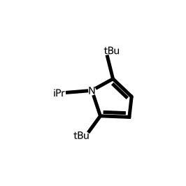 CC(C)n1c(C(C)(C)C)ccc1C(C)(C)C